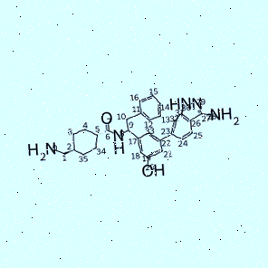 NC[C@H]1CC[C@H](C(=O)NC(Cc2ccccc2)c2cc(O)cc(-c3ccc4c(N)n[nH]c4c3)c2)CC1